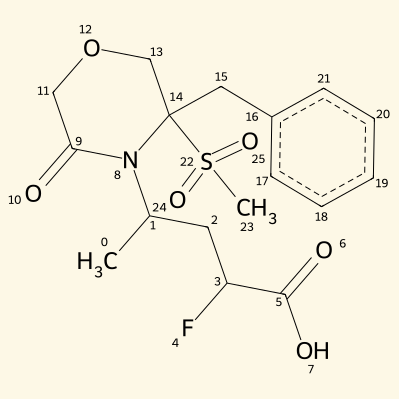 CC(CC(F)C(=O)O)N1C(=O)COCC1(Cc1ccccc1)S(C)(=O)=O